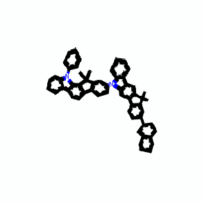 CC1(C)c2cc(-c3ccc4ccccc4c3)ccc2-c2cc3c(cc21)c1ccccc1n3-c1ccc2c(c1)C(C)(C)c1c-2ccc2c3ccccc3n(-c3ccccc3)c12